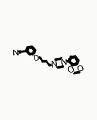 N#Cc1cccc(OCCCCN2CCN(c3cccc4c3OCCO4)CC2)c1